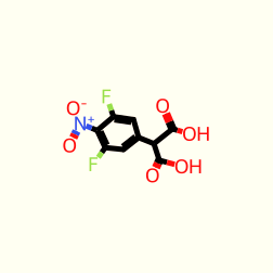 O=C(O)C(C(=O)O)c1cc(F)c([N+](=O)[O-])c(F)c1